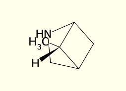 C[C@H]1C2CNC1C2